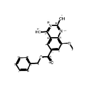 COc1cc(C(=O)OCc2ccccc2)cc2c(O)nc(O)nc12